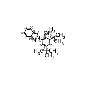 CC(C)(C)c1cc(-n2cc3ccccc3n2)c(O)c(C(C)(C)C)c1